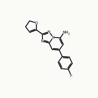 Nc1cc(-c2ccc(F)cc2)cc2nc(C3=CCCO3)nn12